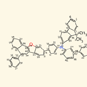 CC1(C)c2ccccc2-c2ccc(N(c3ccc(-c4ccc5c(c4)oc4c6ccccc6c(-c6ccccc6)cc54)cc3)c3cccc(-c4ccccc4)c3)cc21